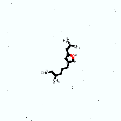 CC(C)=Cc1cc(CCCC(C)=CC=O)co1